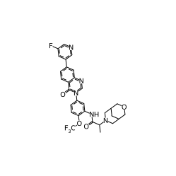 CC(C(=O)Nc1cc(-n2cnc3cc(-c4cncc(F)c4)ccc3c2=O)ccc1OC(F)(F)F)N1CC2COCC(C2)C1